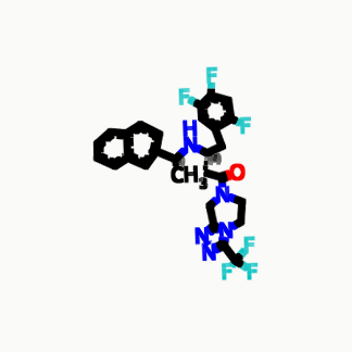 C[C@H](N[C@@H](CC(=O)N1CCn2c(nnc2C(F)(F)F)C1)Cc1cc(F)c(F)cc1F)c1ccc2ccccc2c1